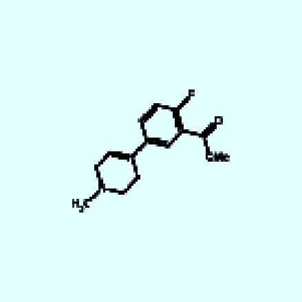 COC(=O)c1cc(C2=CCN(C)CC2)ccc1F